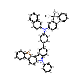 CC1(C)c2ccccc2-c2ccc(N(c3ccc(-c4ccc5c(c4)c4c6sc7ccccc7c6ccc4n5-c4ccccc4)cc3)c3ccc4ccccc4c3)cc21